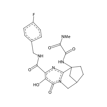 CNC(=O)C(=O)NC12CCC(Cn3c1nc(C(=O)NCc1ccc(F)cc1)c(O)c3=O)C2